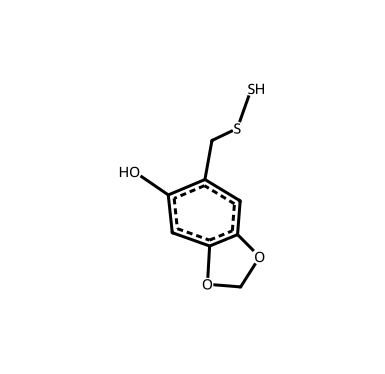 Oc1cc2c(cc1CSS)OCO2